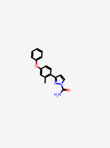 Cc1cc(Oc2ccccc2)ccc1-c1ccn(C(N)=O)n1